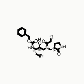 CC(C)C[C@H](NC(=O)OCc1ccccc1)[C@@H](O)CN(C[C@@H]1CCNC1=O)C(=O)CCl